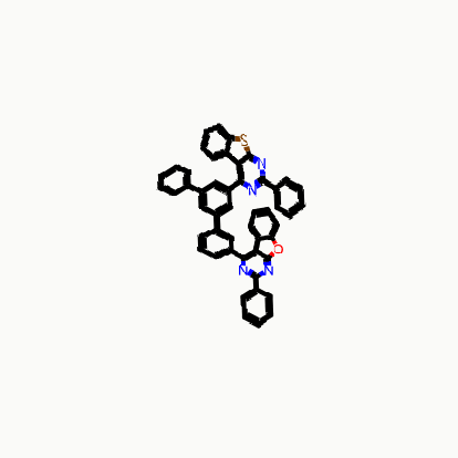 c1ccc(-c2cc(-c3cccc(-c4nc(-c5ccccc5)nc5oc6ccccc6c45)c3)cc(-c3nc(-c4ccccc4)nc4sc5ccccc5c34)c2)cc1